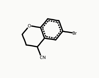 N#CC1CCOc2ccc(Br)cc21